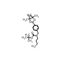 CCCCN(Cc1ccc(B2OC(C)(C)C(C)(C)O2)cc1)C(=O)OC(C)(C)C